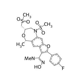 CN/C(=N\O)c1c(-c2ccc(F)cc2)oc2cc3c(cc12)[C@H](C)O[C@H](CS(C)(=O)=O)CN3S(C)(=O)=O